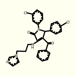 O=C(C1=C(NCCCn2ccnc2)C(=O)N(c2cccc(Cl)c2)C1c1ccc(Cl)cc1)c1ccccc1